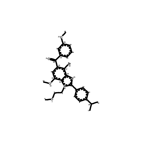 COCCn1c(-c2ccc(C(C)C)cc2)nc2c(Br)c(C(=O)c3cccc(OC)c3)cc(OC)c21